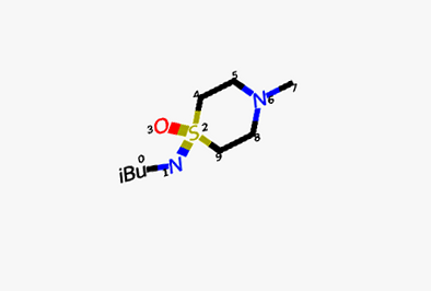 CCC(C)N=S1(=O)CCN(C)CC1